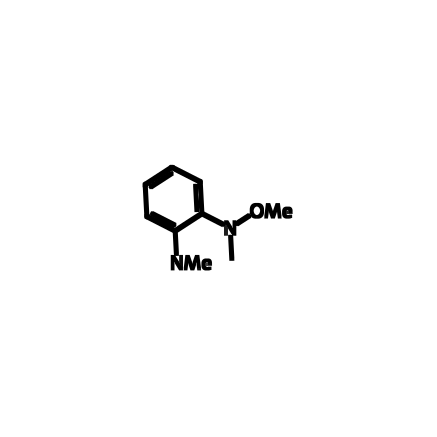 CNc1ccccc1N(C)OC